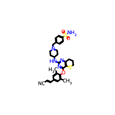 Cc1cc(C=CC#N)cc(C)c1Oc1nc(NC2CCN(Cc3ccc(S(N)(=O)=O)cc3)CC2)nc2c1SCCC2